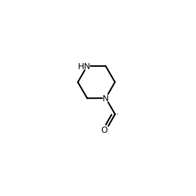 O=[C]N1CCNCC1